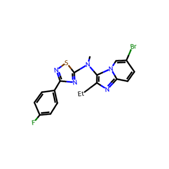 CCc1nc2ccc(Br)cn2c1N(C)c1nc(-c2ccc(F)cc2)ns1